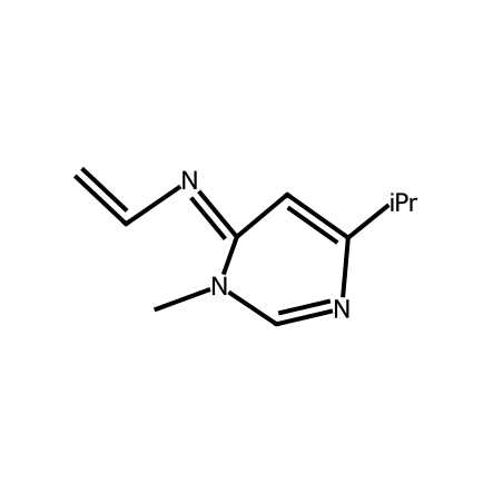 C=C/N=c1/cc(C(C)C)ncn1C